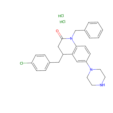 Cl.Cl.O=C1CC(Cc2ccc(Cl)cc2)c2cc(N3CCNCC3)ccc2N1Cc1ccccc1